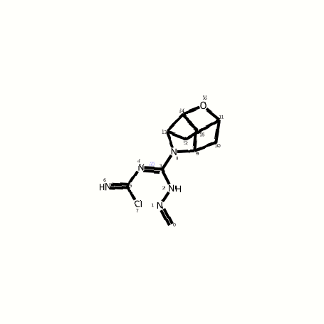 C=NN/C(=N\C(=N)Cl)N1C2CC3CC1C(C2)O3